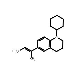 C/C(=C\C(=O)O)c1ccc2c(c1)CCCN2C1CCCCC1